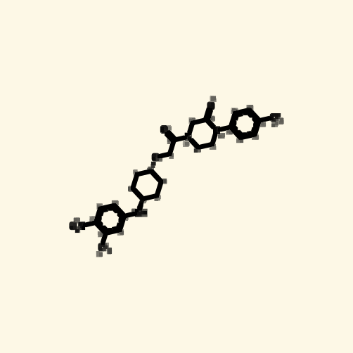 O=C(CO[C@H]1CC[C@H](Nc2ccc([N+](=O)[O-])c(C(F)(F)F)c2)CC1)N1CCN(c2ccc(C(F)(F)F)cc2)C(=O)C1